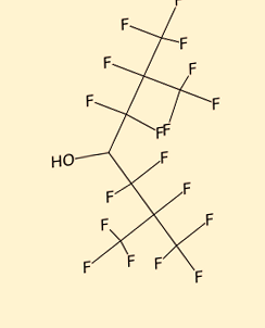 OC(C(F)(F)C(F)(C(F)(F)F)C(F)(F)F)C(F)(F)C(F)(C(F)(F)F)C(F)(F)F